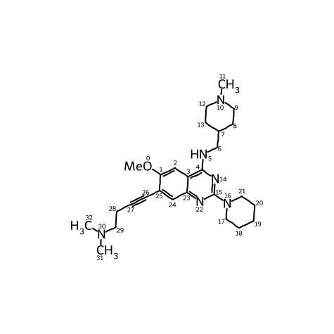 COc1cc2c(NCC3CCN(C)CC3)nc(N3CCCCC3)nc2cc1C#CCCN(C)C